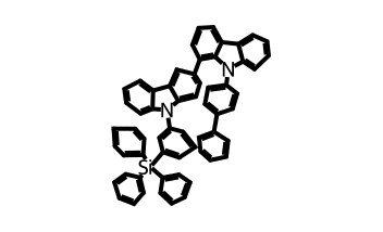 c1ccc(-c2ccc(-n3c4ccccc4c4cccc(-c5ccc6c(c5)c5ccccc5n6-c5cccc([Si](c6ccccc6)(c6ccccc6)c6ccccc6)c5)c43)cc2)cc1